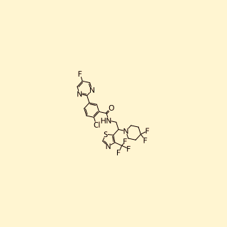 O=C(NCC(c1scnc1C(F)(F)F)N1CCC(F)(F)CC1)c1cc(-c2ncc(F)cn2)ccc1Cl